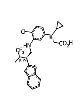 C[C@H]([C@@H](CNc1cc([C@@H](CC(=O)O)C2CC2)ccc1Cl)c1cc2ccccc2s1)C(F)(F)F